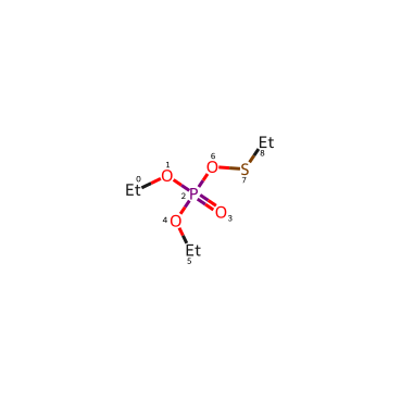 CCOP(=O)(OCC)OSCC